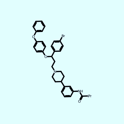 CC(C)C(=O)Nc1cccc(C2CCN(CCC(Oc3ccc(Oc4ccccc4)cc3)c3ccc(Br)cc3)CC2)c1